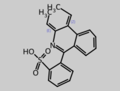 C/C=c1\c(=C/C)nc(-c2ccccc2S(=O)(=O)O)c2ccccc12